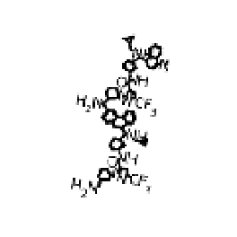 CN(C)c1ccc(C(NCC2CC2)c2cccc(NC(=O)c3cc(C(F)(F)F)nn3-c3cccc(C(N)c4ccc5cc(C(NCC6CC6)c6cccc(NC(=O)c7cc(C(F)(F)F)nn7-c7cccc(CN)c7)c6)c6ccccc6c5c4)c3)c2)c2ccccc12